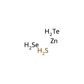 S.[SeH2].[TeH2].[Zn]